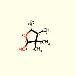 CC[C@H]1OC(O)C(C)(C)[C@@H]1C